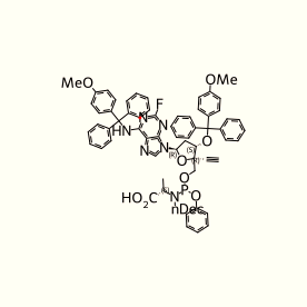 C#C[C@]1(COP(Oc2ccccc2)N(CCCCCCCCCC)[C@@H](C)C(=O)O)O[C@@H](n2cnc3c(NC(c4ccccc4)(c4ccccc4)c4ccc(OC)cc4)nc(F)nc32)C[C@@H]1OC(c1ccccc1)(c1ccccc1)c1ccc(OC)cc1